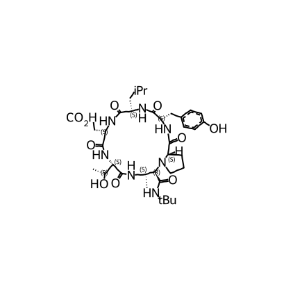 CC(C)C[C@@H]1NC(=O)[C@H](Cc2ccc(O)cc2)NC(=O)[C@@H]2CCCN2[C@@H](C(=O)NC(C)(C)C)[C@H](C)NC(=O)[C@H]([C@@H](C)O)NC(=O)[C@H](CC(=O)O)NC1=O